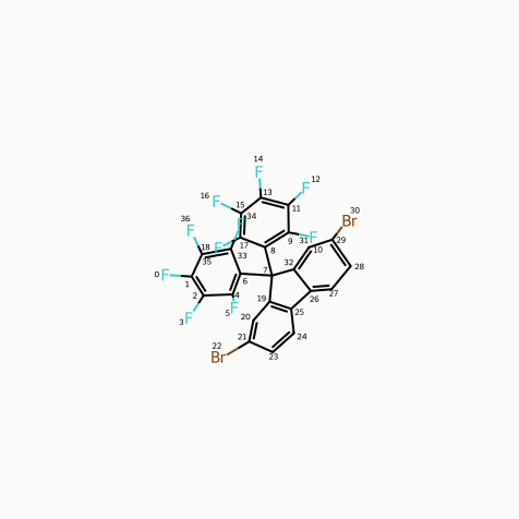 Fc1c(F)c(F)c(C2(c3c(F)c(F)c(F)c(F)c3F)c3cc(Br)ccc3-c3ccc(Br)cc32)c(F)c1F